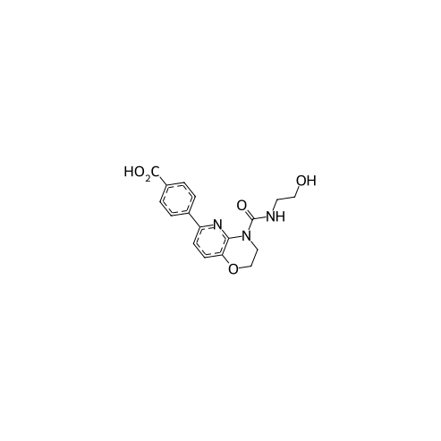 O=C(O)c1ccc(-c2ccc3c(n2)N(C(=O)NCCO)CCO3)cc1